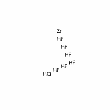 Cl.F.F.F.F.F.F.[Zr]